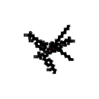 CCCCCCCCCC[N+](C)(CCCCCCCCCC)CCC[Si](OC(CN1CCN(CC(O)CC)CC1)CS(=O)(=O)O)(OC(CN1CCN(CC(O)CS(=O)(=O)O)CC1)CS(=O)(=O)O)OC(CN1CCN(CC(O)CS(=O)(=O)O)CC1)CS(=O)(=O)O